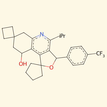 CC(C)c1nc2c(c3c1C(c1ccc(C(F)(F)F)cc1)OC31CCCC1)C(O)CC1(CCC1)C2